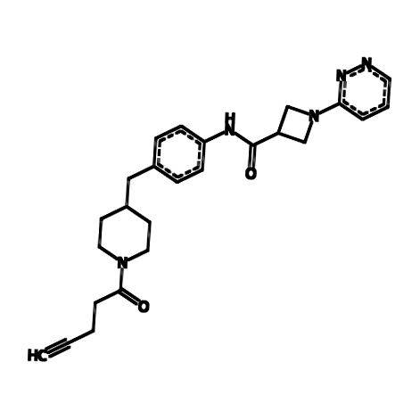 C#CCCC(=O)N1CCC(Cc2ccc(NC(=O)C3CN(c4cccnn4)C3)cc2)CC1